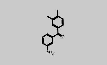 Cc1ccc(C(=O)c2cccc(N)c2)cc1C